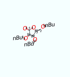 CCCCOC[C@@H]1OC(=O)[C@H](OCCCC)[C@H]1OCCCC